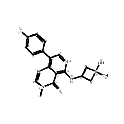 Cn1cnc2c(-c3ccc(C(F)(F)F)cc3)cnc(NC3CS(O)(O)C3)c2c1=O